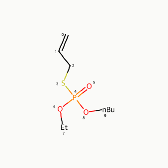 C=CCSP(=O)(OCC)OCCCC